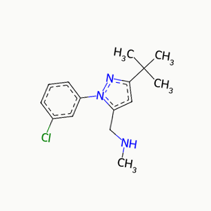 CNCc1cc(C(C)(C)C)nn1-c1cccc(Cl)c1